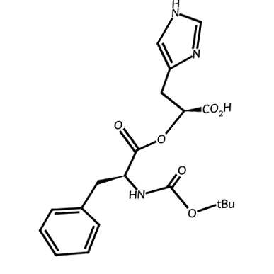 CC(C)(C)OC(=O)N[C@@H](Cc1ccccc1)C(=O)O[C@@H](Cc1c[nH]cn1)C(=O)O